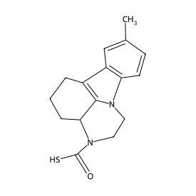 Cc1ccc2c(c1)c1c3n2CCN(C(=O)S)C3CCC1